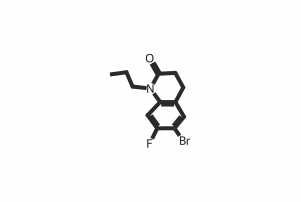 CCCN1C(=O)CCc2cc(Br)c(F)cc21